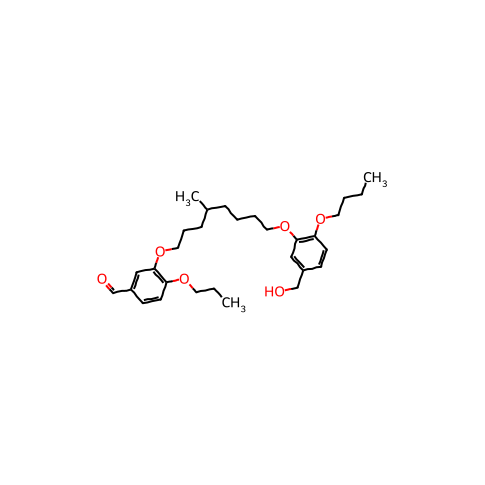 CCCCOc1ccc(CO)cc1OCCCCC(C)CCCOc1cc(C=O)ccc1OCCC